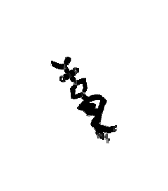 CN(C)S(=O)(=O)N1CCN(c2ccc(C(N)=O)cc2)CC1